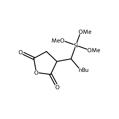 CCCCC(C1CC(=O)OC1=O)[Si](OC)(OC)OC